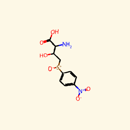 NC(C(=O)O)C(O)C[S+]([O-])c1ccc([N+](=O)[O-])cc1